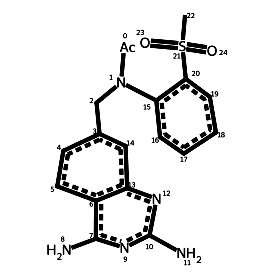 CC(=O)N(Cc1ccc2c(N)nc(N)nc2c1)c1ccccc1S(C)(=O)=O